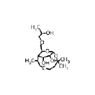 CC(O)COCC1OC2OC(C)(C)CCCCC(C)C1C(O)C2O